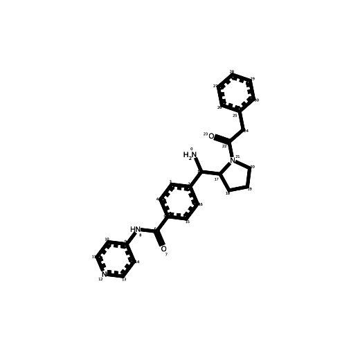 NC(c1ccc(C(=O)Nc2ccncc2)cc1)C1CCCN1C(=O)Cc1ccccc1